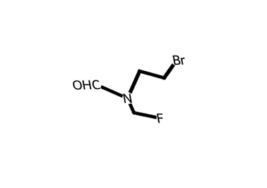 O=CN(CF)CCBr